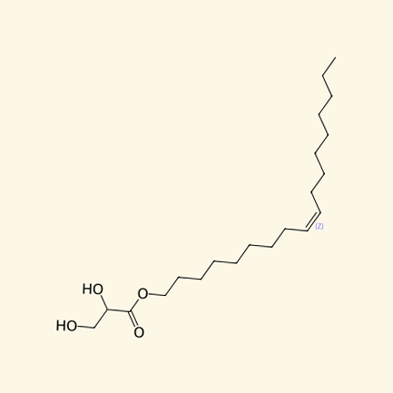 CCCCCCCC/C=C\CCCCCCCCOC(=O)C(O)CO